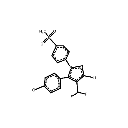 CS(=O)(=O)c1ccc(-n2nc(Cl)c(C(F)F)c2-c2ccc(Cl)cc2)cc1